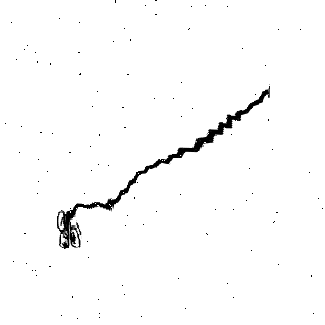 CO[Si](CCCCCCCCCCCCCCCCCCCCCCCCCCCCCCCCCCCI)(OC)OC